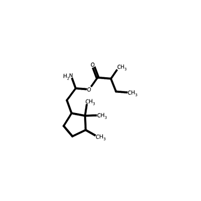 CCC(C)C(=O)OC(N)CC1CCC(C)C1(C)C